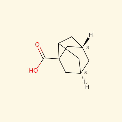 O=C(O)C12C[C@@H]3CC1C[C@@H](C3)C2